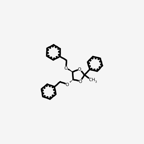 CC1(c2ccccc2)O[C@H](OCc2ccccc2)[C@@H](OCc2ccccc2)O1